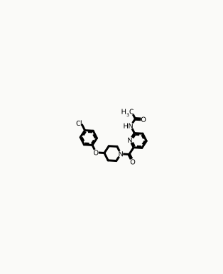 CC(=O)Nc1cccc(C(=O)N2CCC(Oc3ccc(Cl)cc3)CC2)n1